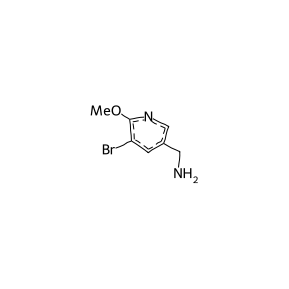 COc1ncc(CN)cc1Br